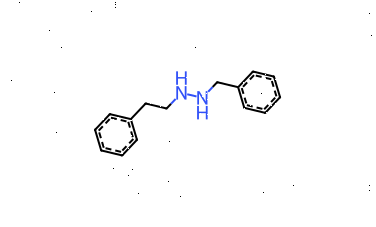 c1ccc(CCNNCc2ccccc2)cc1